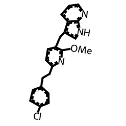 COc1nc(CCc2ccc(Cl)cc2)ccc1Cc1c[nH]c2ncccc12